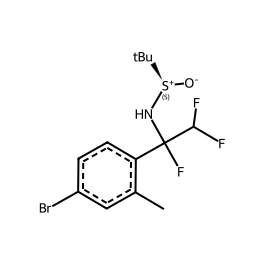 Cc1cc(Br)ccc1C(F)(N[S@+]([O-])C(C)(C)C)C(F)F